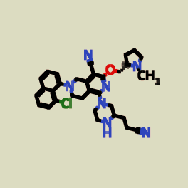 CN1CCC[C@H]1COc1nc(N2CCNC(CCC#N)C2)c2c(c1C#N)CN(c1cccc3cccc(Cl)c13)CC2